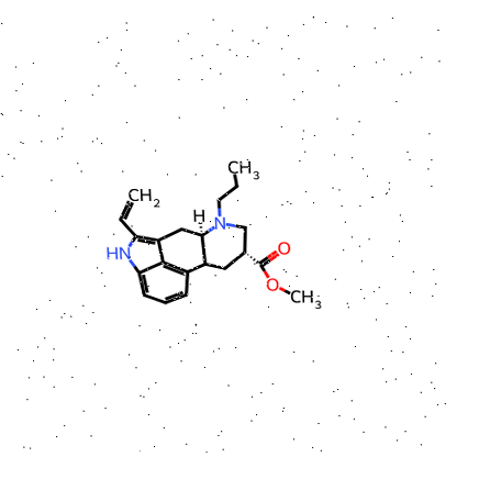 C=Cc1[nH]c2cccc3c2c1C[C@@H]1C3C[C@@H](C(=O)OC)CN1CCC